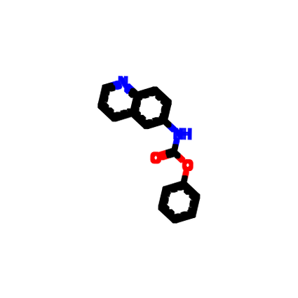 O=C(Nc1ccc2ncccc2c1)Oc1ccccc1